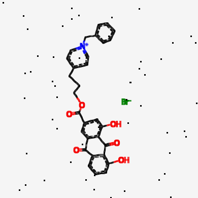 O=C(OCCCc1cc[n+](Cc2ccccc2)cc1)c1cc(O)c2c(c1)C(=O)c1cccc(O)c1C2=O.[Br-]